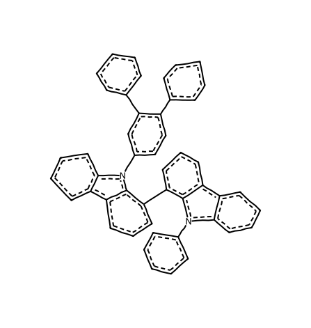 c1ccc(-c2ccc(-n3c4ccccc4c4cccc(-c5cccc6c7ccccc7n(-c7ccccc7)c56)c43)cc2-c2ccccc2)cc1